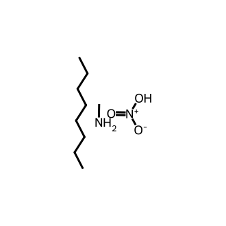 CCCCCCCC.CN.O=[N+]([O-])O